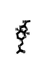 CNC1=N[C@@H]2[C][C][C@H](COC(C)=O)O[C@@H]2S1